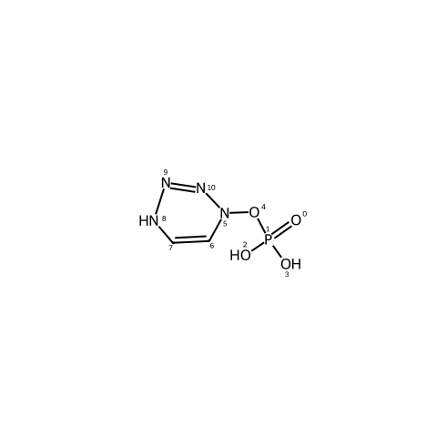 O=P(O)(O)ON1C=CNN=N1